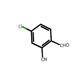 N#Cc1cc(Cl)ccc1C=O